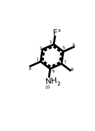 Cc1cc(F)c(C)c(C)c1N